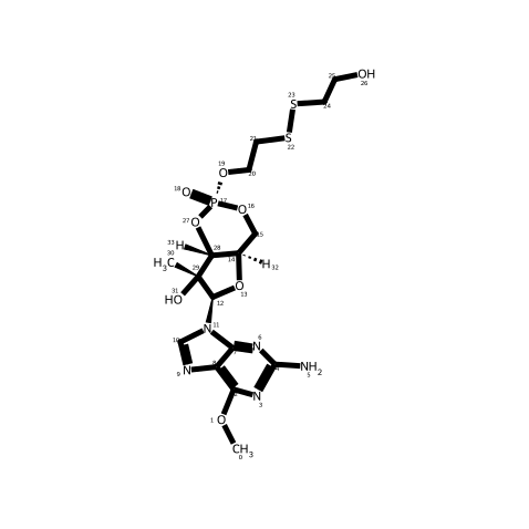 COc1nc(N)nc2c1ncn2[C@@H]1O[C@@H]2CO[P@@](=O)(OCCSSCCO)O[C@H]2[C@@]1(C)O